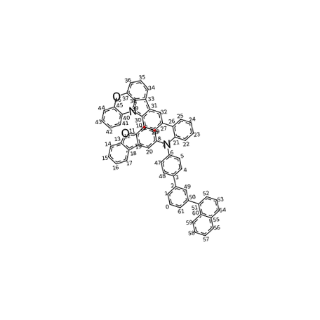 c1cc(-c2ccc(N(c3ccc4oc5ccccc5c4c3)c3ccccc3-c3ccc4c(c3)c3cccc5c3n4-c3ccccc3O5)cc2)cc(-c2cccc3ccccc23)c1